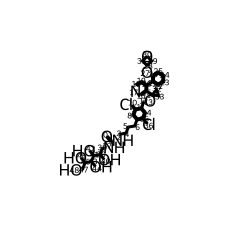 O=C(NCCCCc1cc(Cl)c(COC2(c3cnccc3-c3ccccc3OC3COC3)CC2)cc1Cl)NCC(O)C(O)C(O)C(O)CO